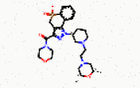 C[C@@H]1CN(CCN2CCC[C@H](n3nc(C(=O)N4CCOCC4)c4c3-c3ccccc3S(=O)(=O)C4)C2)C[C@H](C)O1